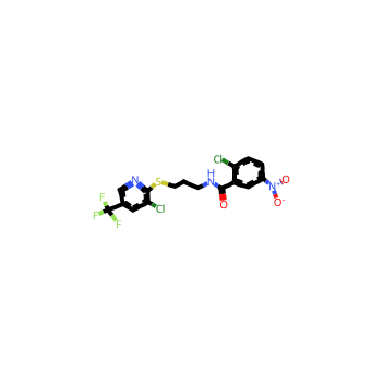 O=C(NCCCSc1ncc(C(F)(F)F)cc1Cl)c1cc([N+](=O)[O-])ccc1Cl